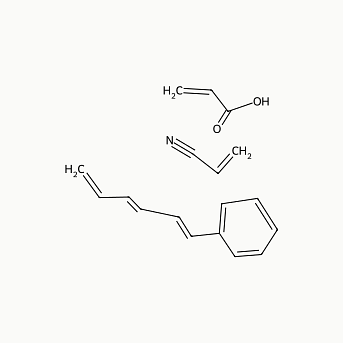 C=CC#N.C=CC(=O)O.C=CC=CC=Cc1ccccc1